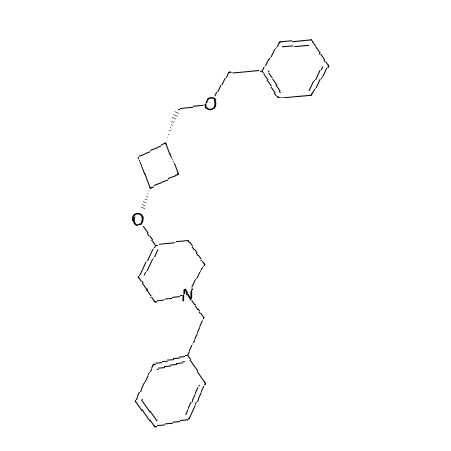 C1=C(O[C@H]2C[C@@H](COCc3ccccc3)C2)CCN(Cc2ccccc2)C1